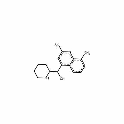 Cc1cccc2c(C(O)C3CCCCN3)cc(C(F)(F)F)nc12